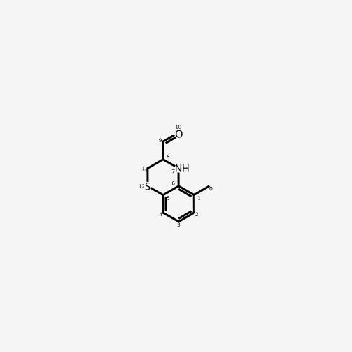 Cc1cccc2c1NC(C=O)CS2